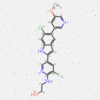 COc1cncc(-c2cc3cc(-c4cnc(NCCO)c(F)c4)[nH]c3cc2Cl)c1